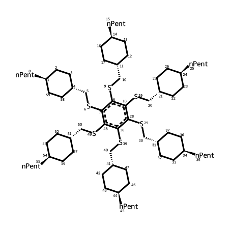 CCCCC[C@H]1CC[C@H](CSc2c(SC[C@H]3CC[C@H](CCCCC)CC3)c(SC[C@H]3CC[C@H](CCCCC)CC3)c(SC[C@H]3CC[C@H](CCCCC)CC3)c(SC[C@H]3CC[C@H](CCCCC)CC3)c2SC[C@H]2CC[C@H](CCCCC)CC2)CC1